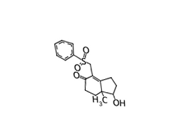 CC12CCC(=O)C(CS(=O)(=O)c3ccccc3)=C1CCC2O